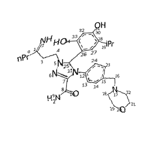 CCCC(=N)CCN1N=C(C(N)=O)N(c2ccc(CN3CCOCC3)cc2)C1c1cc(C(C)C)c(O)cc1O